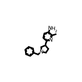 Cc1nc(C2CCN(Cc3ccccc3)C2)ccc1N